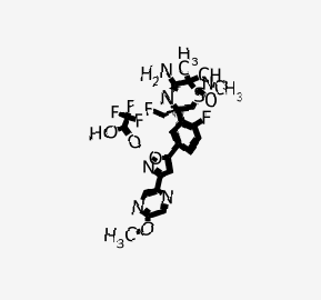 CN=S1(=O)C[C@](CF)(c2cc(-c3cc(-c4cnc(OC)cn4)no3)ccc2F)N=C(N)C1(C)C.O=C(O)C(F)(F)F